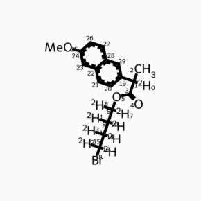 [2H]C(C)(C(=O)OC([2H])([2H])C([2H])([2H])C([2H])([2H])C([2H])([2H])Br)c1ccc2cc(OC)ccc2c1